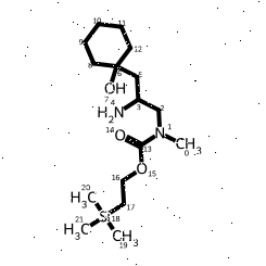 CN(CC(N)CC1(O)CCCCC1)C(=O)OCC[Si](C)(C)C